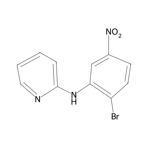 O=[N+]([O-])c1ccc(Br)c(Nc2ccccn2)c1